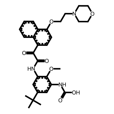 COc1c(NC(=O)O)cc(C(C)(C)C)cc1NC(=O)C(=O)c1ccc(OCCN2CCOCC2)c2ccccc12